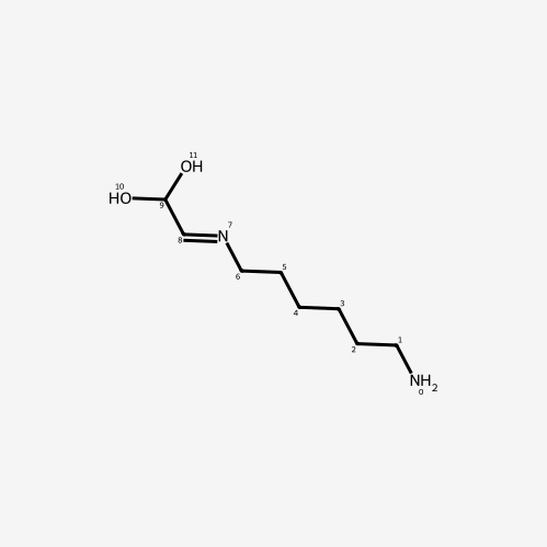 NCCCCCCN=CC(O)O